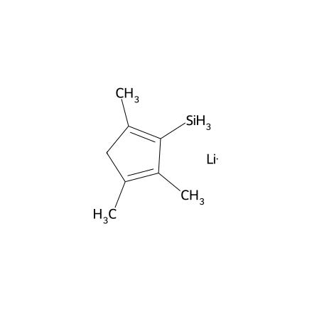 CC1=C(C)C([SiH3])=C(C)C1.[Li]